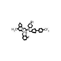 C=C1C=C(SCc2cccc(F)c2F)N(CC(=O)N(Cc2ccc(-c3ccc(C(F)(F)F)cc3)cc2)C2CCN(CC)CC2)C2=C1CCC2